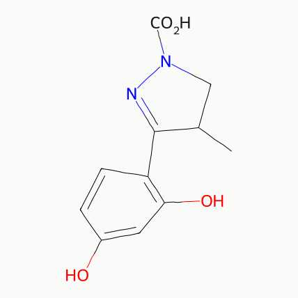 CC1CN(C(=O)O)N=C1c1ccc(O)cc1O